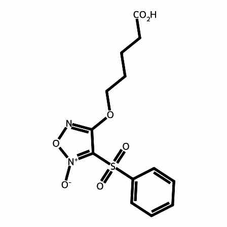 O=C(O)CCCCOc1no[n+]([O-])c1S(=O)(=O)c1ccccc1